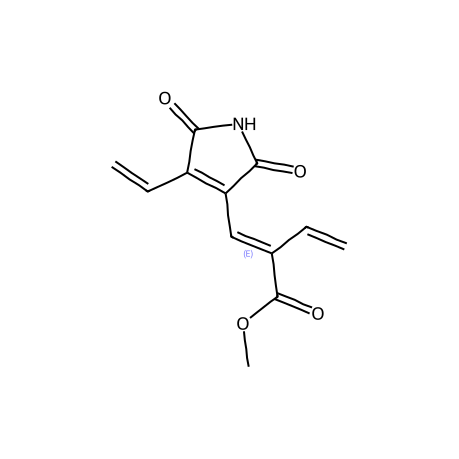 C=CC1=C(/C=C(\C=C)C(=O)OC)C(=O)NC1=O